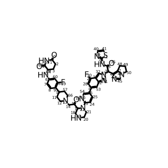 O=C1CC[C@H](Nc2ccc(C3CCN(CC(=O)C4CNCCN4c4ccc(-c5cc(F)c6cn(C(C(=O)Nc7nccs7)c7ncn8c7CCC8)nc6c5)cn4)CC3)c(F)c2)C(=O)N1